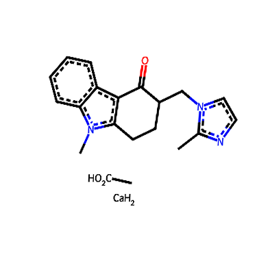 CC(=O)O.Cc1nccn1CC1CCc2c(c3ccccc3n2C)C1=O.[CaH2]